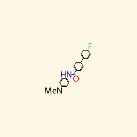 CNc1ccc(NC(=O)c2ccc(-c3ccc(F)cc3)cc2)cc1